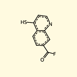 O=C(F)c1ccc2c(S)ccnc2c1